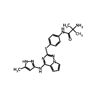 Cc1cc(Nc2nc(Sc3ccc(NC(=O)C(C)(C)N)cc3)nn3cccc23)n[nH]1